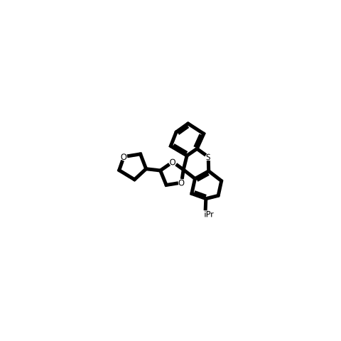 CC(C)C1=CC2=C(CC1)Sc1ccccc1C21OCC(C2CCOC2)O1